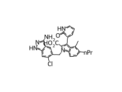 CCCc1ccc2c(c1C)c(-c1ccc[nH]c1=O)c(C(=O)O)n2Cc1cc2c(N)n[nH]c2cc1Cl